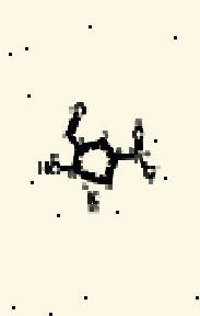 O=Cc1cc([N+](=O)[O-])ccc1O.[K]